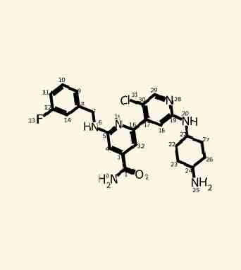 NC(=O)c1cc(NCc2cccc(F)c2)nc(-c2cc(NC3CCC(N)CC3)ncc2Cl)c1